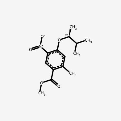 COC(=O)c1cc([N+](=O)[O-])c(O[C@@H](C)C(C)C)cc1C